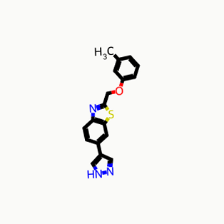 Cc1cccc(OCc2nc3ccc(-c4cn[nH]c4)cc3s2)c1